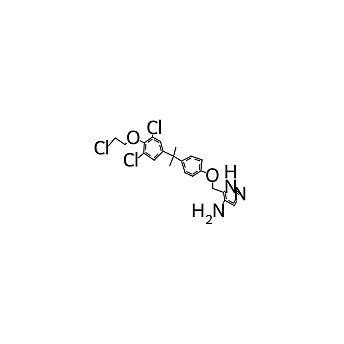 CC(C)(c1ccc(OCc2[nH]ncc2N)cc1)c1cc(Cl)c(OCCCl)c(Cl)c1